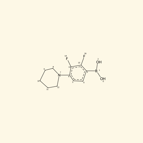 OB(O)c1ccc(N2CCCCC2)c(F)c1F